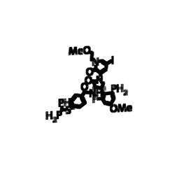 COCCn1cc(I)cc(N2C[C@@H](c3c(F)cc(OC)cc3P)[C@H](NC(=O)c3ccc(SC(P)P)cc3)C2=O)c1=O